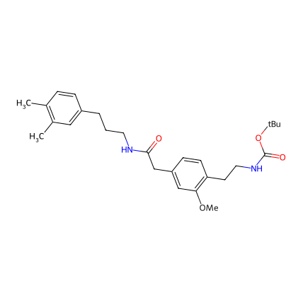 COc1cc(CC(=O)NCCCc2ccc(C)c(C)c2)ccc1CCNC(=O)OC(C)(C)C